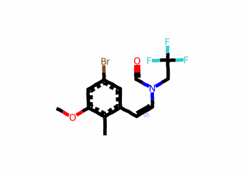 COc1cc(Br)cc(/C=C\N(C=O)CC(F)(F)F)c1C